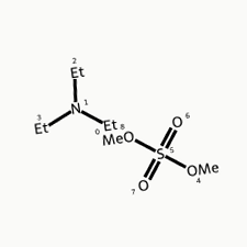 CCN(CC)CC.COS(=O)(=O)OC